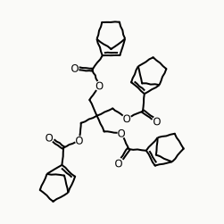 O=C(OCC(COC(=O)C1=CC2CCC1C2)(COC(=O)C1=CC2CCC1C2)COC(=O)C1=CC2CCC1C2)C1=CC2CCC1C2